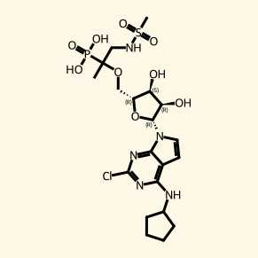 CC(CNS(C)(=O)=O)(OC[C@H]1O[C@@H](n2ccc3c(NC4CCCC4)nc(Cl)nc32)[C@H](O)[C@@H]1O)P(=O)(O)O